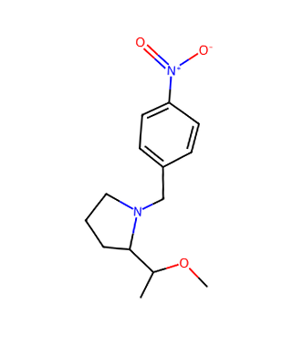 COC(C)C1CCCN1Cc1ccc([N+](=O)[O-])cc1